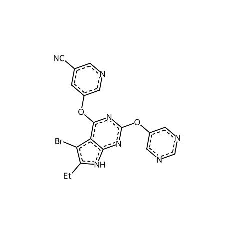 CCc1[nH]c2nc(Oc3cncnc3)nc(Oc3cncc(C#N)c3)c2c1Br